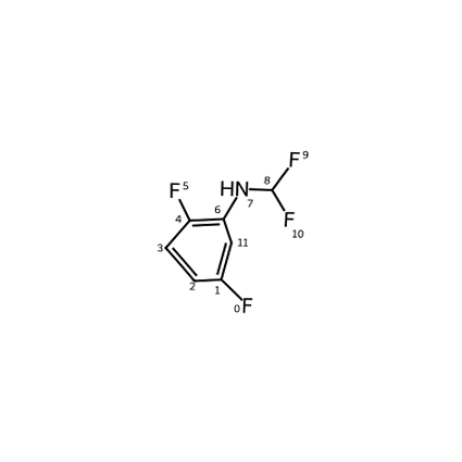 Fc1ccc(F)c(NC(F)F)c1